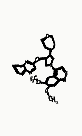 COc1cc2nncc(N3CC(Oc4cnc5ccccc5n4)C(N4CCOCC4)C3)c2cc1OC